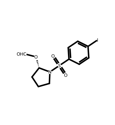 O=CO[C@H]1CCCN1S(=O)(=O)c1ccc(I)cc1